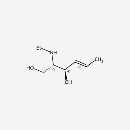 C/C=C/[C@@H](O)[C@H](CO)NCC